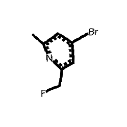 Cc1cc(Br)cc(CF)n1